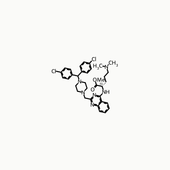 COC(=O)[C@H](CCCN(C)C)Nc1nc(CN2CCN(C(c3ccc(Cl)cc3)c3ccc(Cl)cc3)CC2)nc2ccccc12